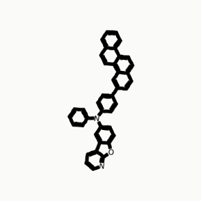 c1ccc(N(c2ccc(-c3ccc4ccc5c6ccccc6ccc5c4c3)cc2)c2ccc3oc4ncccc4c3c2)cc1